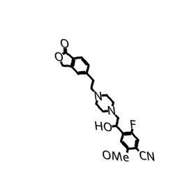 COc1cc(C(O)CN2CCN(CCc3ccc4c(c3)COC4=O)CC2)c(F)cc1C#N